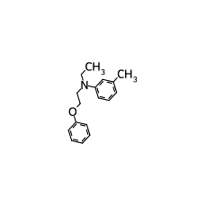 CCN(CCOc1ccccc1)c1cccc(C)c1